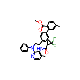 COC(=O)c1ccc(C)cc1-c1ccc(CCN(c2ccccc2)c2nccc(C)c2NC(=O)C2CC2(F)F)cc1